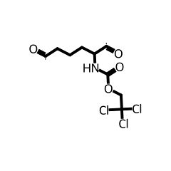 O=[C]CCCC([C]=O)NC(=O)OCC(Cl)(Cl)Cl